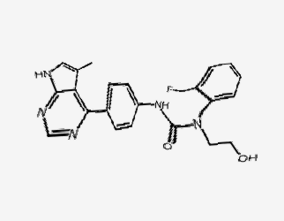 Cc1c[nH]c2ncnc(-c3ccc(NC(=O)N(CCO)c4ccccc4F)cc3)c12